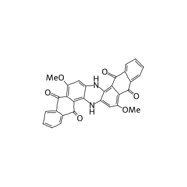 COc1cc2[nH]c3c(cc(OC)c4c(=O)c5ccccc5c(=O)c43)[nH]c2c2c(=O)c3ccccc3c(=O)c12